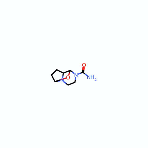 NC(=O)N1CCN2C3CCC2C1O3